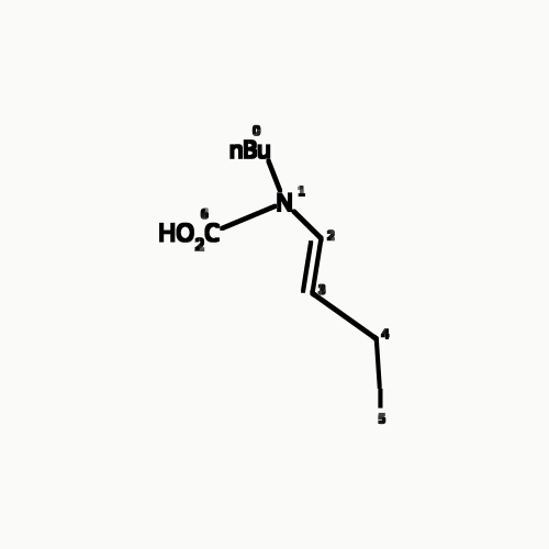 CCCCN(C=CCI)C(=O)O